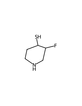 FC1CNCCC1S